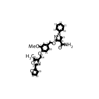 COc1cc(COc2nn(-c3ccccc3)cc2C(N)=O)ccc1OCc1nc(-c2ccco2)oc1C